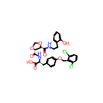 O=C(O)[C@H](Cc1ccc(OCc2c(Cl)cccc2Cl)cc1)NC(=O)[C@@H]1OCO[C@H]1C(=O)NCCc1ccccc1O